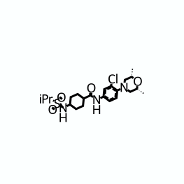 CC(C)S(=O)(=O)NC1CCC(C(=O)Nc2ccc(N3C[C@@H](C)O[C@@H](C)C3)c(Cl)c2)CC1